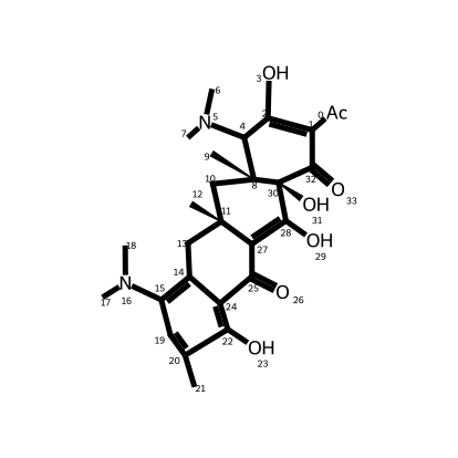 CC(=O)C1=C(O)C(N(C)C)[C@@]2(C)C[C@@]3(C)Cc4c(N(C)C)cc(C)c(O)c4C(=O)C3=C(O)[C@@]2(O)C1=O